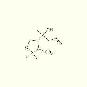 C=CCC(C)(O)C1COC(C)(C)N1C(=O)O